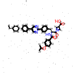 CC[C@H]1CC[C@H](c2ccc(-c3cnc(-c4ccc(C[C@H](NC(=O)c5ccc(OC(C)C)cc5)C(=O)N5CC(C(=O)O)C5)cc4)nc3)cc2)CC1